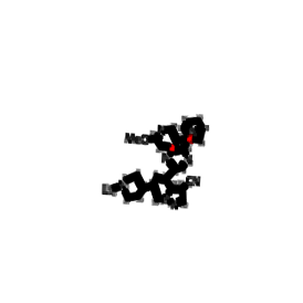 CCN1CC=C(c2cc(-c3cnc(N4CC5CC(C4)N5Cc4cnc(OC)cn4)cn3)c3c(C#N)cnn3c2)CC1